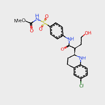 COC(=O)NS(=O)(=O)c1ccc(NC(=O)C(CCO)[C@@H]2CCc3cc(Cl)ccc3N2)cc1